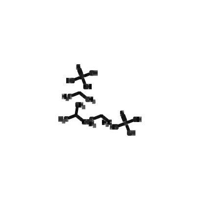 CC(C)C.CCC.CCC.OP(O)(O)=S.OP(O)(O)=S